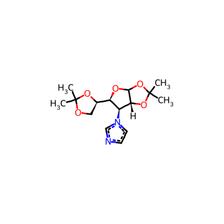 CC1(C)OC[C@H]([C@H]2OC3OC(C)(C)O[C@@H]3[C@H]2n2ccnc2)O1